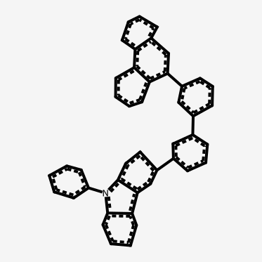 c1ccc(-n2c3ccccc3c3cc(-c4cccc(-c5cccc(-c6cc7ccccc7c7ccccc67)c5)c4)ccc32)cc1